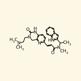 CC(c1cc2ccccc2[nH]1)N(C)C(=O)/C=C/c1ccc2c(n1)CN(CCN(C)C)C(=O)N2